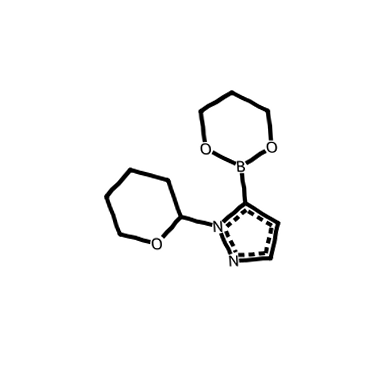 c1cc(B2OCCCO2)n(C2CCCCO2)n1